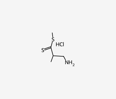 CSC(=S)C(C)CN.Cl